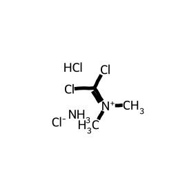 C[N+](C)=C(Cl)Cl.Cl.N.[Cl-]